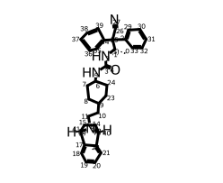 C[C@H](NC(=O)NC1CCC(CCN2[C@@H]3CC[C@H]2c2ccccc23)CC1)C(C#N)(c1ccccc1)c1ccccc1